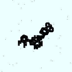 Fc1cccc(-c2cc3ncnc(NCc4ccc5c(c4)OCO5)c3s2)c1F